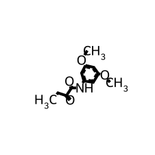 CCC(=O)C(=O)Nc1cc(OC)cc(OC)c1